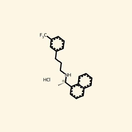 C[C@H](NCCCc1cccc(C(F)(F)F)c1)c1cccc2ccccc12.Cl